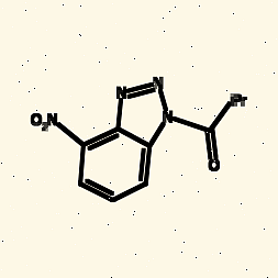 CC(C)C(=O)n1nnc2c([N+](=O)[O-])cccc21